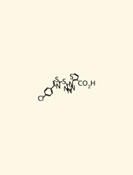 O=C(O)c1ccsc1-n1nnnc1Sc1nc(-c2ccc(Cl)cc2)cs1